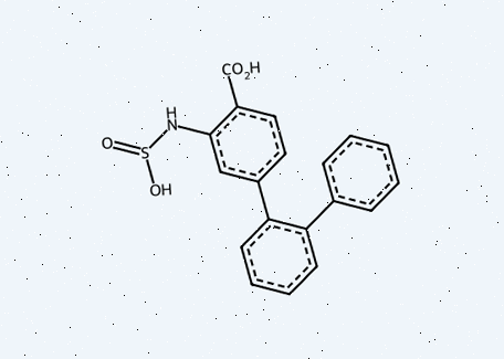 O=C(O)c1ccc(-c2ccccc2-c2ccccc2)cc1NS(=O)O